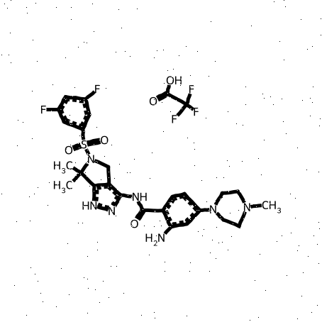 CN1CCN(c2ccc(C(=O)Nc3n[nH]c4c3CN(S(=O)(=O)c3cc(F)cc(F)c3)C4(C)C)c(N)c2)CC1.O=C(O)C(F)(F)F